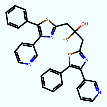 OC(S)(Cc1nc(-c2cccnc2)c(-c2ccccc2)s1)Cc1nc(-c2cccnc2)c(-c2ccccc2)s1